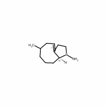 CC1C/C=C2\CCN(N)[C@H]2CCC1